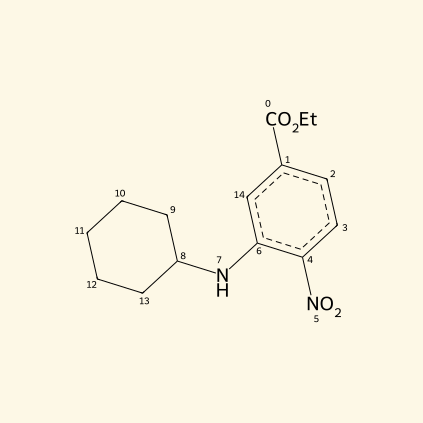 CCOC(=O)c1ccc([N+](=O)[O-])c(NC2CCCCC2)c1